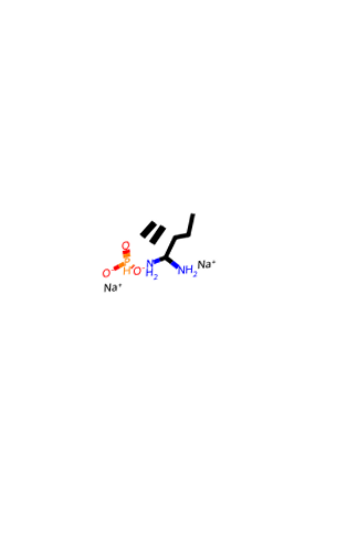 C=C.C=C.CCCC(N)N.O=[PH]([O-])[O-].[Na+].[Na+]